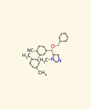 Cc1ccc(C)c(-c2cc(C(OCc3ccccc3)c3cncn3C)ccc2C#N)c1